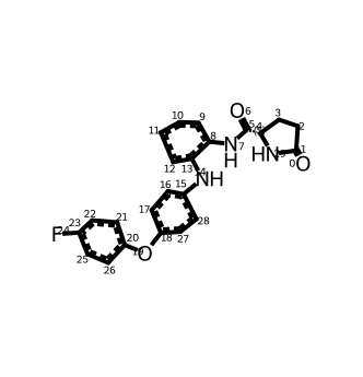 O=C1CC[C@@H](C(=O)Nc2ccccc2Nc2ccc(Oc3ccc(F)cc3)cc2)N1